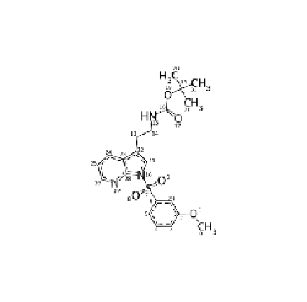 COc1cccc(S(=O)(=O)n2cc(CCNC(=O)OC(C)(C)C)c3cccnc32)c1